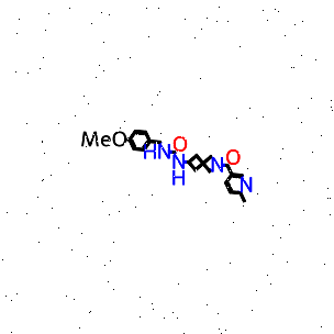 COc1ccc(CNC(=O)NC2CC3(C2)CN(C(=O)c2ccc(C)nc2)C3)cc1